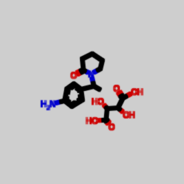 CC(c1ccc(N)cc1)N1CCCCC1=O.O=C(O)C(O)C(O)C(=O)O